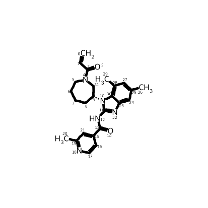 C=CC(=O)N1CCCC[C@@H](n2c(NC(=O)c3ccnc(C)c3)nc3cc(C)cc(C)c32)C1